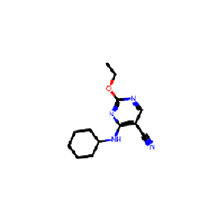 CCOc1ncc(C#N)c(NC2CCCCC2)n1